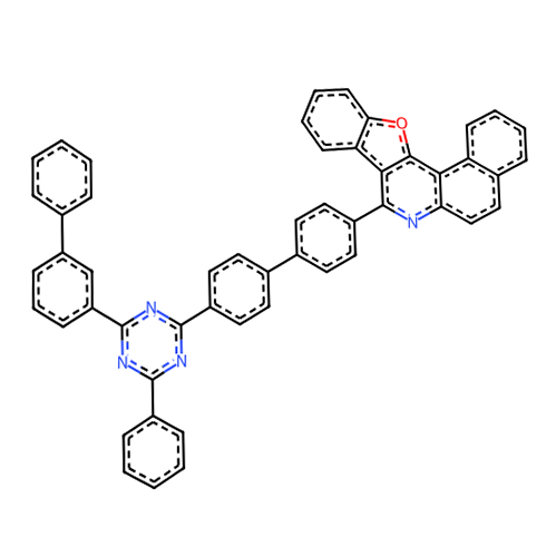 c1ccc(-c2cccc(-c3nc(-c4ccccc4)nc(-c4ccc(-c5ccc(-c6nc7ccc8ccccc8c7c7oc8ccccc8c67)cc5)cc4)n3)c2)cc1